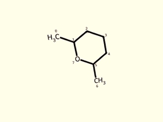 CC1[C]CCC(C)O1